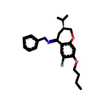 CCCCOc1cc2c(cc1Cl)/C(=N/Cc1ccccc1)C[C@H](C(C)C)CO2